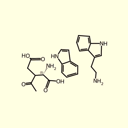 CC(=O)C(CC(=O)O)[C@H](N)C(=O)O.NCCc1c[nH]c2ccccc12.c1ccc2[nH]ccc2c1